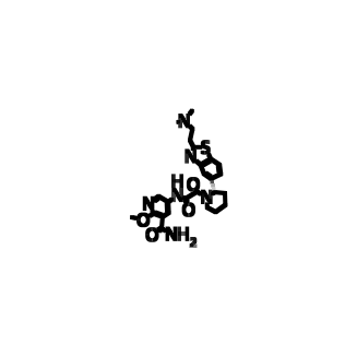 COc1ncc(NC(=O)C(=O)N2CCCC[C@H]2c2ccc3sc(CCN(C)C)nc3c2)cc1C(N)=O